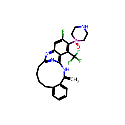 C=C1Nc2nc(nc3cc(F)c(P4(=O)CCNCC4)c(C(F)(F)F)c23)CCCCc2ccccc21